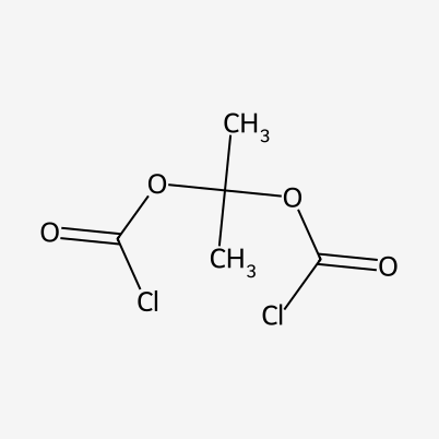 CC(C)(OC(=O)Cl)OC(=O)Cl